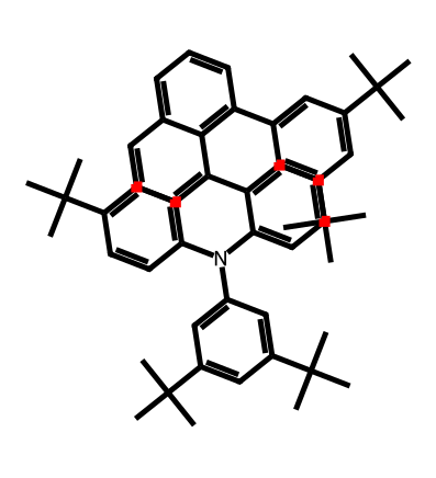 CC(C)(C)c1ccc(N(c2cc(C(C)(C)C)cc(C(C)(C)C)c2)c2ccccc2-c2cccc3cccc(-c4cc(C(C)(C)C)cc(C(C)(C)C)c4)c23)cc1